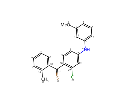 COc1cccc(Nc2ccc(C(=S)c3ccccc3C)c(Cl)c2)c1